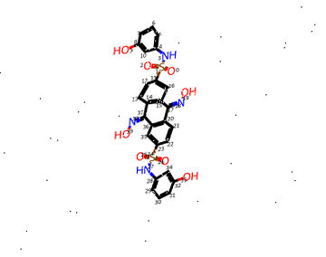 O=S(=O)(Nc1cccc(O)c1)c1ccc2c(c1)/C(=N\O)c1ccc(S(=O)(=O)Nc3cccc(O)c3)cc1/C2=N\O